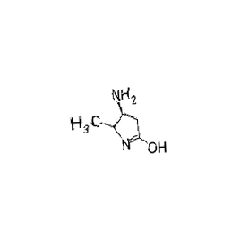 CC1N=C(O)C[C@@H]1N